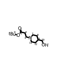 CC(C)(C)OC(=O)CCN1CCC(CO)CC1